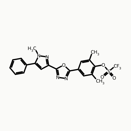 Cc1cc(-c2nnc(-c3cc(-c4ccccc4)n(C)n3)o2)cc(C)c1OS(=O)(=O)C(F)(F)F